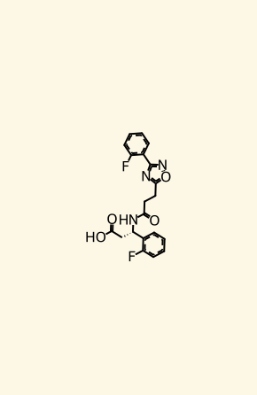 O=C(O)C[C@H](NC(=O)CCc1nc(-c2ccccc2F)no1)c1ccccc1F